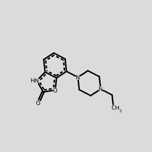 CCN1CCN(c2cccc3[nH]c(=O)oc23)CC1